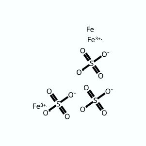 O=S(=O)([O-])[O-].O=S(=O)([O-])[O-].O=S(=O)([O-])[O-].[Fe+3].[Fe+3].[Fe]